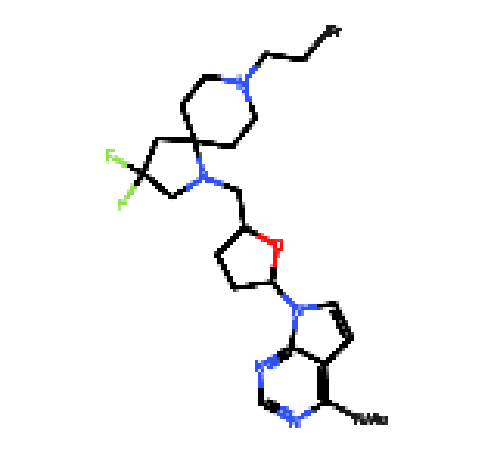 CNc1ncnc2c1ccn2C1CCC(CN2CC(F)(F)CC23CCN(CCC(C)C)CC3)O1